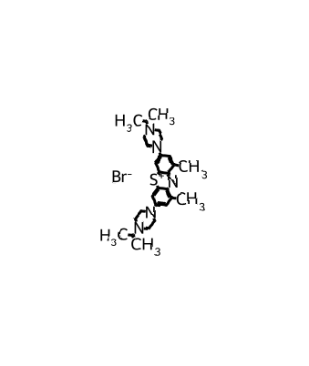 Cc1cc(N2CCN(C(C)C)CC2)cc2[s+]c3cc(N4CCN(C(C)C)CC4)cc(C)c3nc12.[Br-]